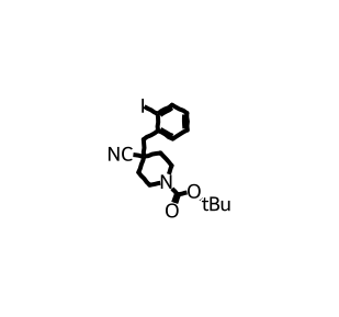 CC(C)(C)OC(=O)N1CCC(C#N)(Cc2ccccc2I)CC1